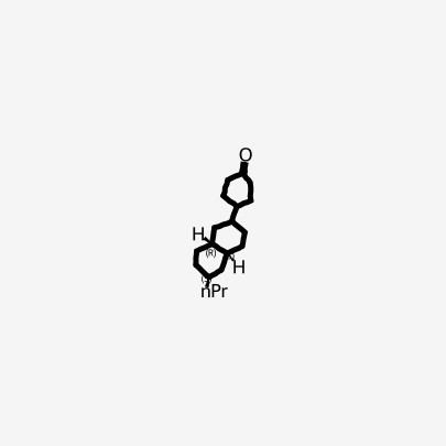 CCC[C@H]1CC[C@@H]2CC(C3CCC(=O)CC3)CC[C@H]2C1